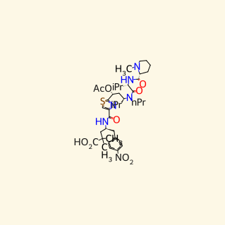 CCCN(C(=O)[C@@H](NC(=O)[C@H]1CCCCN1C)C(C)C)[C@H](C[C@@H](OC(C)=O)c1nc(C(=O)N[C@@H](Cc2ccc([N+](=O)[O-])cc2)CC(C)(C)C(=O)O)cs1)C(C)C